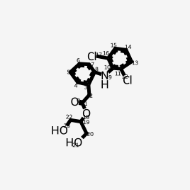 O=C(Cc1ccccc1Nc1c(Cl)cccc1Cl)OC(CO)CO